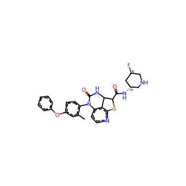 Cc1cc(Oc2ccccc2)ccc1N1C(=O)NC2c3c1ccnc3SC2C(=O)N[C@H]1CNC[C@H](F)C1